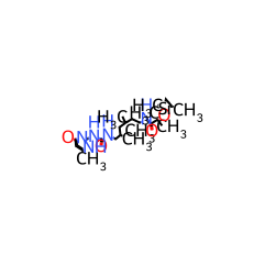 Cc1cc(=O)nc(NC(=O)NCC(C)CC(C)(C)CCNC(=O)C(C)(C)O[Si]2(C)CC2C)[nH]1